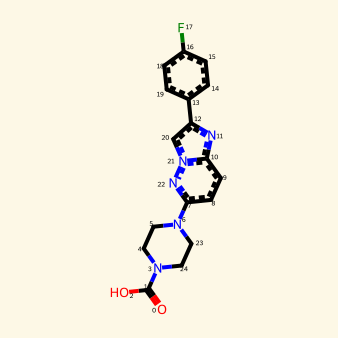 O=C(O)N1CCN(c2ccc3nc(-c4ccc(F)cc4)cn3n2)CC1